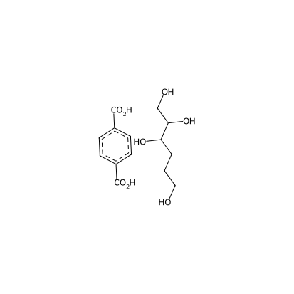 O=C(O)c1ccc(C(=O)O)cc1.OCCCC(O)C(O)CO